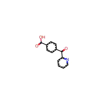 O=C(O)c1ccc(C(=O)c2ccccn2)cc1